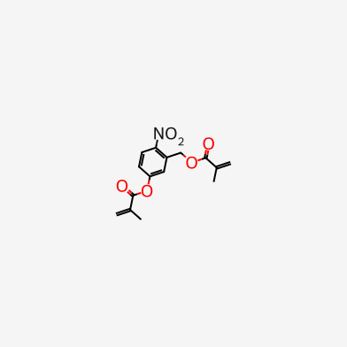 C=C(C)C(=O)OCc1cc(OC(=O)C(=C)C)ccc1[N+](=O)[O-]